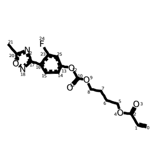 C=CC(=O)OCCCCOC(=O)Oc1ccc(-c2noc(C)n2)c(F)c1